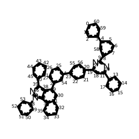 c1ccc(-c2cccc(-c3nc(-c4ccccc4)cc(-c4ccc(-c5cccc(-c6cc7ccccc7c7c6c(-c6ccccc6)nn7-c6ccccc6)c5)cc4)n3)c2)cc1